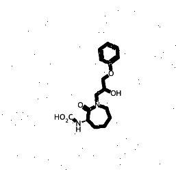 O=C(O)N[C@H]1CCCCN(CC(O)COc2ccccc2)C1=O